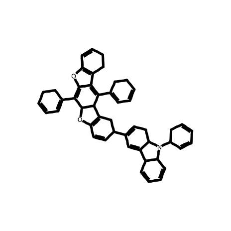 C1=CCCC(C2=c3oc4c(c3=C(C3=CC=CCC3)C3C5=C(C=CC(C6=CCC7C(=C6)C6C=CC=CC6N7C6C=CC=CC6)C5)OC23)CCC=C4)=C1